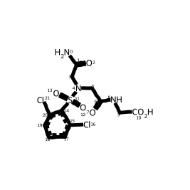 NC(=O)CN(CC(=O)NCC(=O)O)S(=O)(=O)c1c(Cl)cccc1Cl